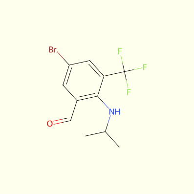 CC(C)Nc1c(C=O)cc(Br)cc1C(F)(F)F